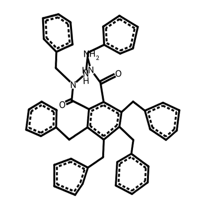 NNC(=O)c1c(Cc2ccccc2)c(Cc2ccccc2)c(Cc2ccccc2)c(Cc2ccccc2)c1C(=O)N(Cc1ccccc1)NCc1ccccc1